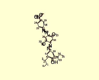 CCC(C)c1cc(N=Nc2cc(OC)c(N=Nc3ccc([N+](=O)[O-])cc3)cc2OC)cc(C(C)CC)c1O